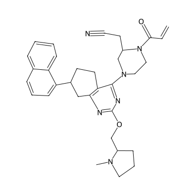 C=CC(=O)N1CCN(c2nc(OCC3CCCN3C)nc3c2CCC(c2cccc4ccccc24)C3)CC1CC#N